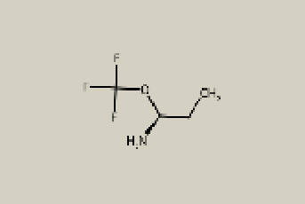 CC[C@@H](N)OC(F)(F)F